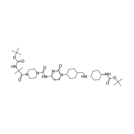 CC(C)(C)OC(=O)NC(C)(C)C(=O)N1CCN(C(=O)Nc2ccn(C3CCC(CN[C@H]4CC[C@H](NC(=O)OC(C)(C)C)CC4)CC3)c(=O)n2)CC1